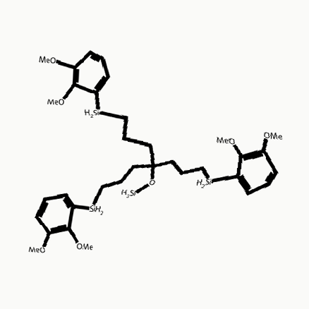 COc1cccc([SiH2]CCCC(CCC[SiH2]c2cccc(OC)c2OC)(CCC[SiH2]c2cccc(OC)c2OC)O[SiH3])c1OC